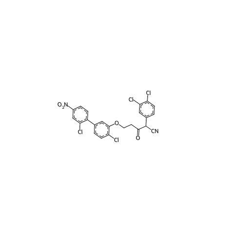 N#CC(C(=O)CCOc1cc(-c2ccc([N+](=O)[O-])cc2Cl)ccc1Cl)c1ccc(Cl)c(Cl)c1